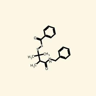 CC(C(=O)NCc1ccccc1)C(C)(C)SSC(=O)c1ccccc1